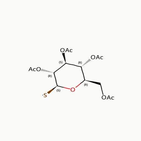 CC(=O)OC[C@H]1O[C@@H]([S])[C@H](OC(C)=O)[C@@H](OC(C)=O)[C@@H]1OC(C)=O